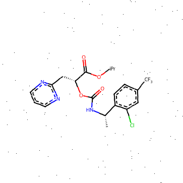 CC(C)OC(=O)[C@@H](Cc1ncccn1)OC(=O)N[C@@H](C)c1ccc(C(F)(F)F)cc1Cl